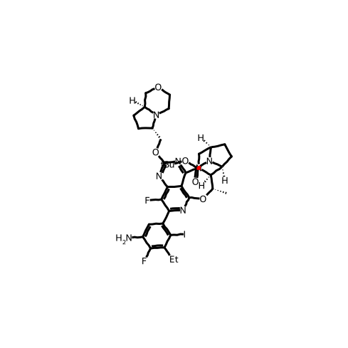 CCc1c(F)c(N)cc(-c2nc3c4c(nc(OC[C@@H]5CC[C@H]6COCCN65)nc4c2F)N2C[C@H]4CC[C@@H]([C@H]2[C@H](C)O3)N4C(=O)OC(C)(C)C)c1I